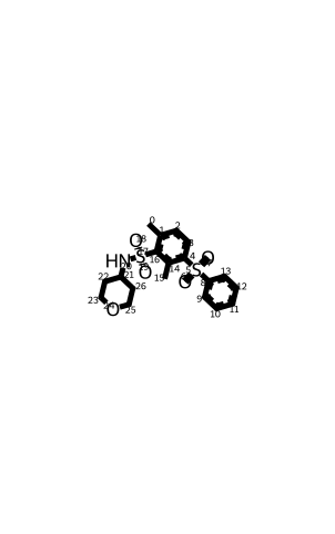 Cc1ccc(S(=O)(=O)c2ccccc2)c(C)c1S(=O)(=O)NC1CCOCC1